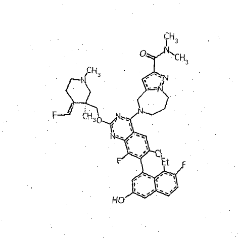 CCc1c(F)ccc2cc(O)cc(-c3c(Cl)cc4c(N5CCCn6nc(C(=O)N(C)C)cc6C5)nc(OC[C@]5(C)CN(C)CC/C5=C\F)nc4c3F)c12